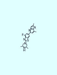 Cc1cn2nc(-c3cc(F)c4nc(N5CC(C)NC(C)C5)sc4c3)cc(C)c2n1